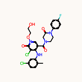 Cc1ccc(Cl)cc1Nc1c(C(=O)N2CCN(c3ccc(F)cc3)C(=O)C2)cn(OCCO)c(=O)c1Cl